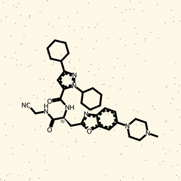 CN1CCN(c2ccc3nc(C[C@H](NC(=O)c4cc(C5CCCCC5)nn4C4CCCCC4)C(=O)NCC#N)oc3c2)CC1